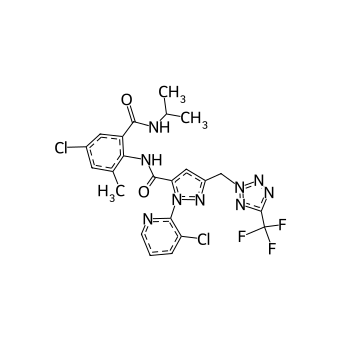 Cc1cc(Cl)cc(C(=O)NC(C)C)c1NC(=O)c1cc(Cn2nnc(C(F)(F)F)n2)nn1-c1ncccc1Cl